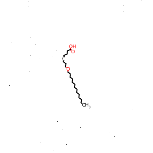 CCCCCCCCCCCCCCOCCC=C=CCCC(=O)O